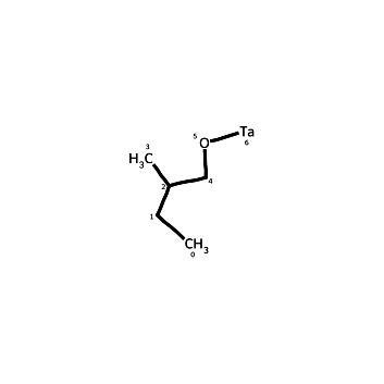 CCC(C)C[O][Ta]